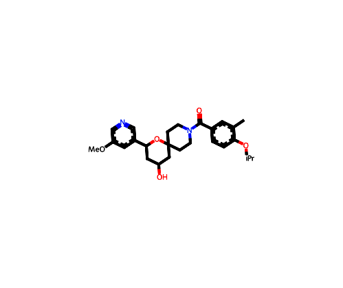 COc1cncc(C2CC(O)CC3(CCN(C(=O)c4ccc(OC(C)C)c(C)c4)CC3)O2)c1